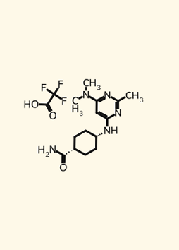 Cc1nc(N[C@H]2CC[C@@H](C(N)=O)CC2)cc(N(C)C)n1.O=C(O)C(F)(F)F